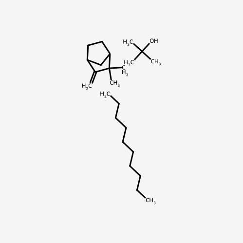 C=C1C2CCC(C2)C1(C)C.CC(C)(C)O.CCCCCCCCCC